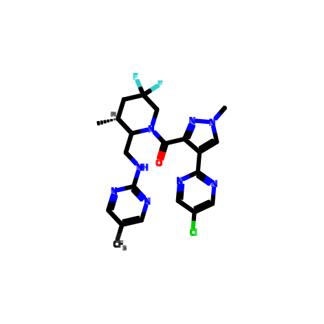 C[C@@H]1CC(F)(F)CN(C(=O)c2nn(C)cc2-c2ncc(Cl)cn2)C1CNc1ncc(C(F)(F)F)cn1